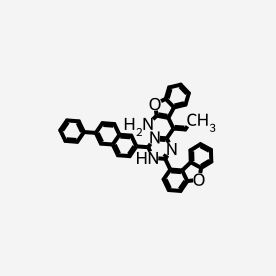 C/C=C(/C1=NC(c2ccc3cc(-c4ccccc4)ccc3c2)NC(c2cccc3oc4ccccc4c23)=N1)c1c(N)oc2ccccc12